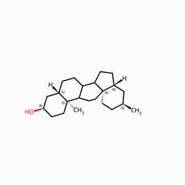 C[C@H]1CC[C@]23CCC4C(CC[C@H]5C[C@H](O)CC[C@]45C)C2CC[C@@H]3C1